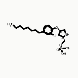 CCCCCCCCc1ccc(O[C@H]2CN[C@@H](COP(=O)(O)O)C2)c(Cl)c1